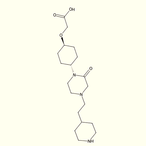 O=C(O)CO[C@H]1CC[C@H](N2CCN(CCC3CCNCC3)CC2=O)CC1